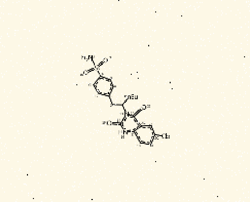 CCCCC(Cc1ccc(S(N)(=O)=O)cc1)n1c(=O)[nH]c2ccc(Cl)cc2c1=O